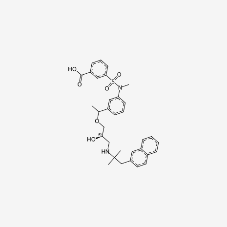 CC(OC[C@H](O)CNC(C)(C)Cc1ccc2ccccc2c1)c1cccc(N(C)S(=O)(=O)c2cccc(C(=O)O)c2)c1